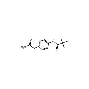 CC(C)(C)C(=O)Nc1ccc(OC(N)=O)nc1